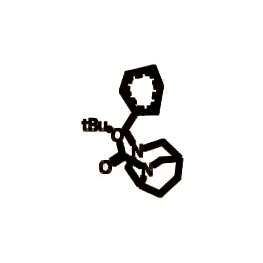 CC(C)(C)OC(=O)N1CC2CCC1CN(Cc1ccccc1)C2